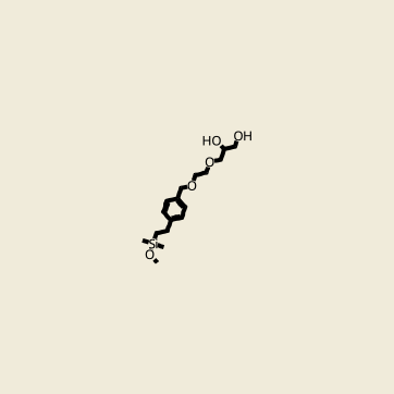 CO[Si](C)(C)CCc1ccc(COCCOCC(O)CO)cc1